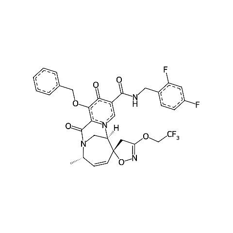 C[C@H]1C=C[C@]2(CC(OCC(F)(F)F)=NO2)[C@H]2CN1C(=O)c1c(OCc3ccccc3)c(=O)c(C(=O)NCc3ccc(F)cc3F)cn12